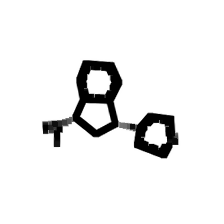 CN[C@H]1C[C@@H](c2ccncc2)c2ccccc21